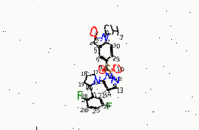 CN1C(=O)Cc2cc(S(=O)(=O)n3nccc3N3CCC[C@@H]3c3cc(F)ccc3F)ccc21